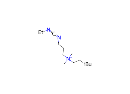 CCN=C=NCCC[N+](C)(C)CCC(C)CC